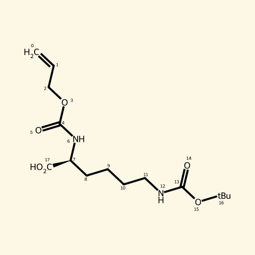 C=CCOC(=O)N[C@@H](CCCCNC(=O)OC(C)(C)C)C(=O)O